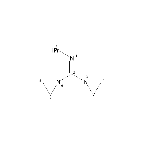 CC(C)N=C(N1CC1)N1CC1